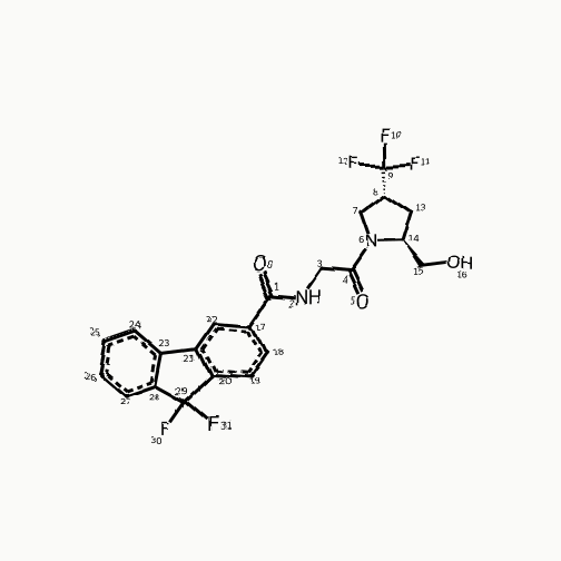 O=C(NCC(=O)N1C[C@H](C(F)(F)F)C[C@H]1CO)c1ccc2c(c1)-c1ccccc1C2(F)F